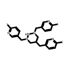 Ic1ccc(CC2CN(Cc3ccc(I)nc3)NN(Cc3ccc(I)nc3)C2)cn1